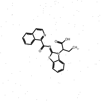 CCC(C(=O)O)n1c(=NC(=O)c2nccc3ccccc23)sc2ccccc21